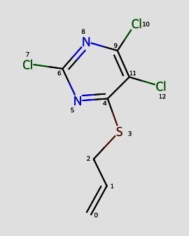 C=CCSc1nc(Cl)nc(Cl)c1Cl